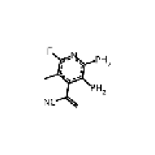 C=C(C#N)c1c(C)c(F)nc(P)c1P